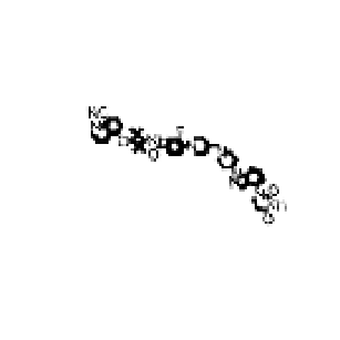 CC1(C)C(NC(=O)c2ccc(N3CCC(CN4CCC(n5ncc6c(N7CCC(=O)NC7=O)cccc65)CC4)CC3)c(F)c2)C(C)(C)C1Oc1ccc(C#N)c2ncccc12